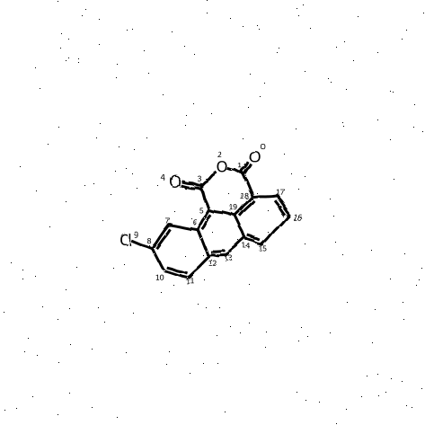 O=C1OC(=O)c2c3cc(Cl)ccc3cc3cccc1c23